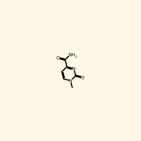 Cn1ccc(C(N)=O)nc1=O